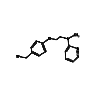 CN(CCOc1ccc(CBr)cc1)c1ccccn1